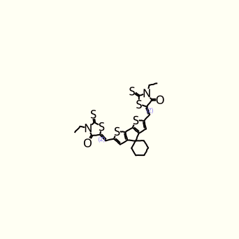 CCN1C(=O)/C(=C/c2cc3c(s2)-c2sc(/C=C4\SC(=S)N(CC)C4=O)cc2C32CCCCC2)SC1=S